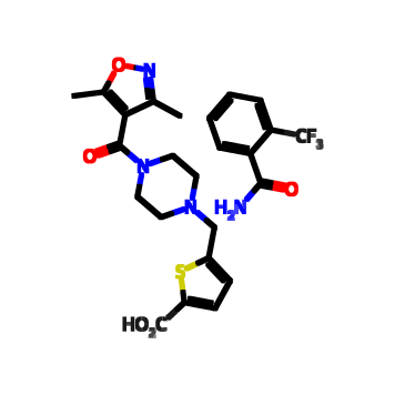 Cc1noc(C)c1C(=O)N1CCN(Cc2ccc(C(=O)O)s2)CC1.NC(=O)c1ccccc1C(F)(F)F